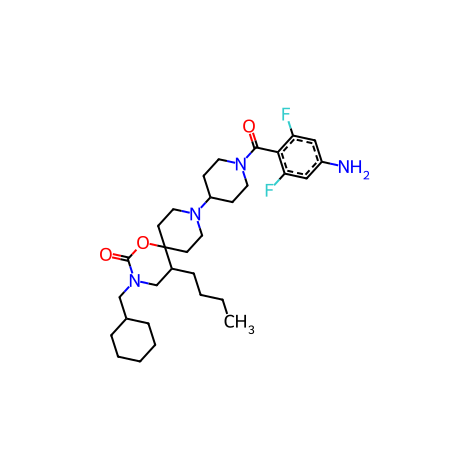 CCCCC1CN(CC2CCCCC2)C(=O)OC12CCN(C1CCN(C(=O)c3c(F)cc(N)cc3F)CC1)CC2